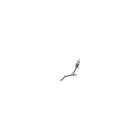 [CH2]CNC#N